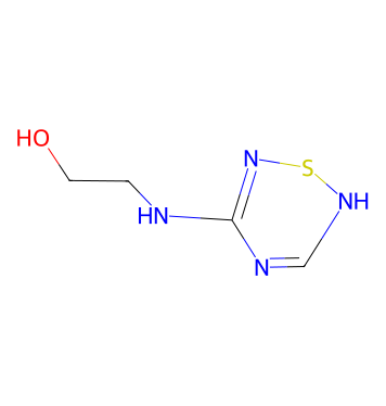 OCCNC1=NSNC=N1